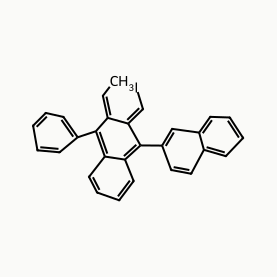 C/C=c1/c(-c2ccccc2)c2ccccc2c(-c2ccc3ccccc3c2)/c1=C/I